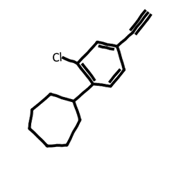 C#Cc1ccc(C2CCCCCC2)c(Cl)c1